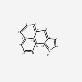 C1=Cc2cc3cccc4cccc(c2=N1)c43